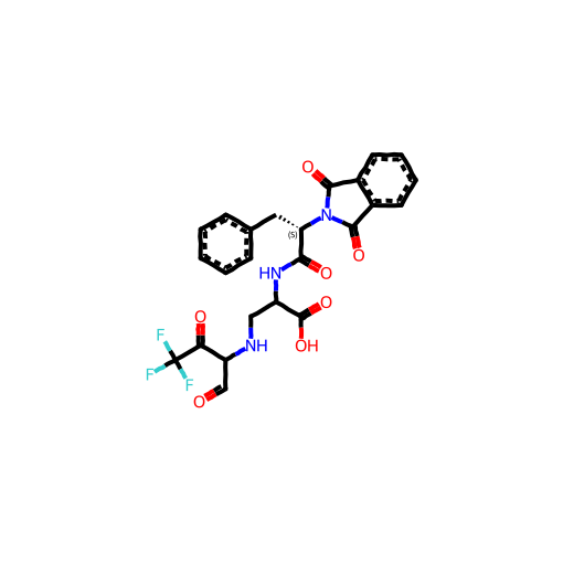 O=CC(NCC(NC(=O)[C@H](Cc1ccccc1)N1C(=O)c2ccccc2C1=O)C(=O)O)C(=O)C(F)(F)F